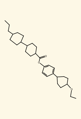 CCCC1CCC(C2CCC(C(=O)Oc3ccc(C4CCC(OCC)CC4)cc3)CC2)CC1